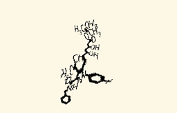 CC(C)c1c(C(=O)NCc2ccccc2)nn(-c2ccc(F)cc2)c1CCC(O)CC(O)CC(=O)OC(C)(C)C